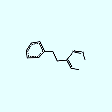 C/C=C(CCc1ccccc1)\N=N/C